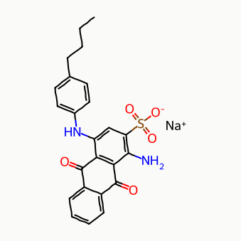 CCCCc1ccc(Nc2cc(S(=O)(=O)[O-])c(N)c3c2C(=O)c2ccccc2C3=O)cc1.[Na+]